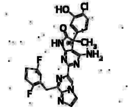 C[C@]1(c2ccc(Cl)c(O)c2)C(=O)Nc2nc(-c3cn4ccnc4c(Cc4cc(F)ccc4F)n3)nc(N)c21